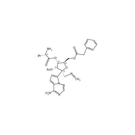 C=NC[C@@]1(c2ccc3c(N)ncnn23)O[C@H](COC(=O)Cc2ccccc2)[C@@H](OC(=O)[C@@H](N)C(C)C)[C@H]1OC(C)=O